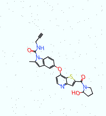 C#CCNC(=O)n1c(C)cc2cc(Oc3ccnc4cc(C(=O)N5CCCC5O)sc34)ccc21